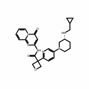 O=C(Nc1cc(=O)n2ccccc2n1)C1(c2ccc(N3CCC[C@@H](NCC4CC4)C3)cn2)COC1